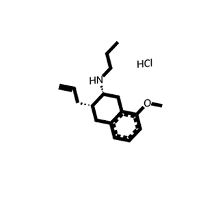 C=CC[C@H]1Cc2cccc(OC)c2C[C@H]1NCCC.Cl